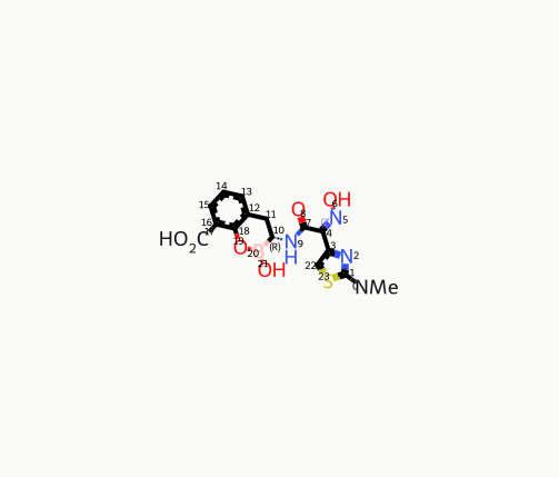 CNc1nc(/C(=N/O)C(=O)N[C@H]2Cc3cccc(C(=O)O)c3OB2O)cs1